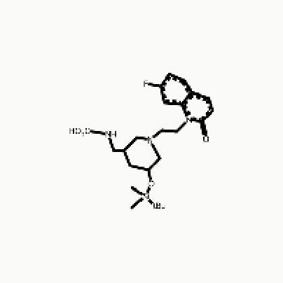 CC(C)(C)[Si](C)(C)OC1CC(CNC(=O)O)CN(CCn2c(=O)ccc3ccc(F)cc32)C1